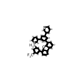 Cc1cc(-c2cccc3c2oc2c(-c4cc(-c5cccnc5)cc(-c5cccnc5)c4)cccc23)cc(C(F)(F)F)c1